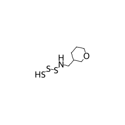 SSSNCC1CCCOC1